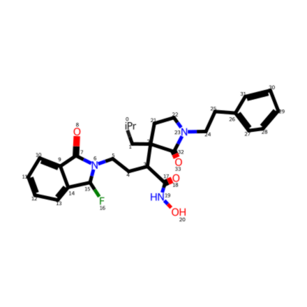 CC(C)CC1(C(CCN2C(=O)c3ccccc3C2F)C(=O)NO)CCN(CCc2ccccc2)C1=O